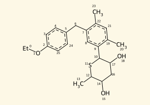 CCOc1ccc(Cc2cc(C3SC(C)C(O)CC3O)c(C)cc2C)cc1